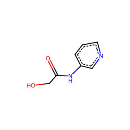 O=C(CO)Nc1cccnc1